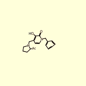 CC(=O)C1CCCN1Cc1ccn(Cc2ccccc2)c(=O)c1O